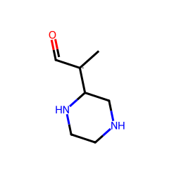 C[C](C=O)C1CNCCN1